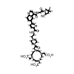 N#CC1CC(F)(F)CN1C(=O)CNC(=O)c1ccnc2ccc(-c3ccc(C(=O)NCCN4CCN(C(=O)CN5CCN(CC(=O)O)CCN(CC(=O)O)CCN(CC(=O)O)CC5)CC4)nc3)cc12